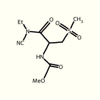 CCN(C#N)C(=O)C(CS(C)(=O)=O)NC(=O)OC